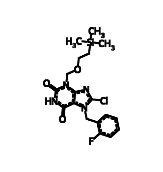 C[Si](C)(C)CCOCn1c(=O)[nH]c(=O)c2c1nc(Cl)n2Cc1ccccc1F